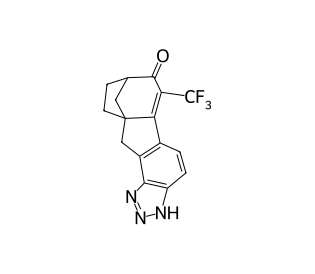 O=C1C(C(F)(F)F)=C2c3ccc4[nH]nnc4c3CC23CCC1C3